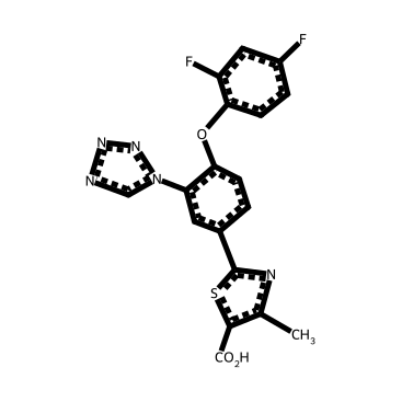 Cc1nc(-c2ccc(Oc3ccc(F)cc3F)c(-n3cnnn3)c2)sc1C(=O)O